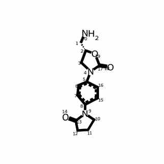 NC[C@H]1CN(c2ccc(N3CCCC3=O)cc2)C(=O)O1